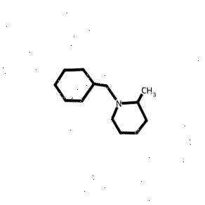 CC1CCCCN1CC1CCCCC1